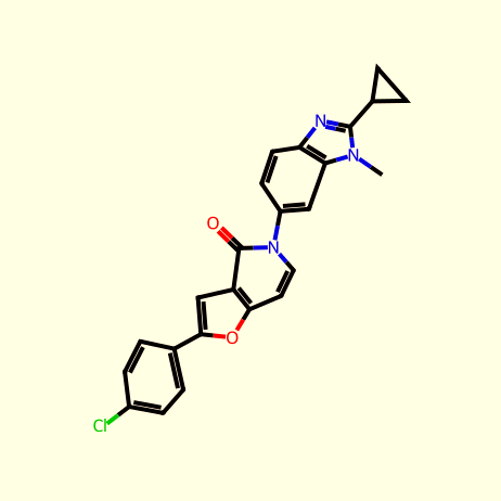 Cn1c(C2CC2)nc2ccc(-n3ccc4oc(-c5ccc(Cl)cc5)cc4c3=O)cc21